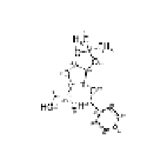 CC1(C)OC2OC([C@H](O)CO)C(OCc3ccccc3)C2O1